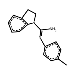 Cc1ccc(N=C(N)N2CCc3ccccc32)cc1